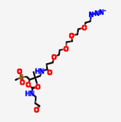 CC(C)(CNC(=O)CCOCCOCCOCCOCCN=[N+]=[N-])C(CS(C)(=O)=O)OC(=O)NCCC=O